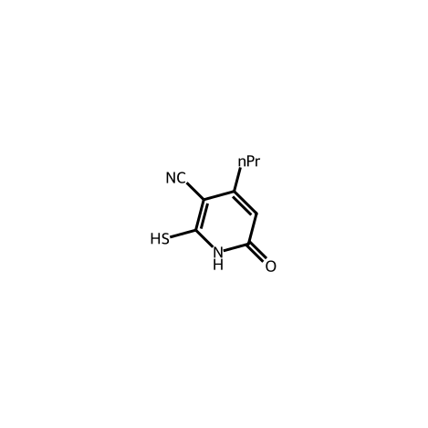 CCCc1cc(=O)[nH]c(S)c1C#N